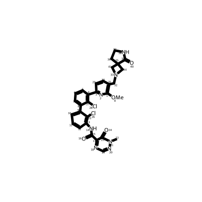 COc1nc(-c2cccc(-c3cccc(NC(=O)c4ncnn(C)c4=O)c3Cl)c2Cl)ccc1CN1CC2(CCNC2=O)C1